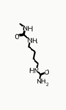 CNC(=O)NCCCCNC(N)=O